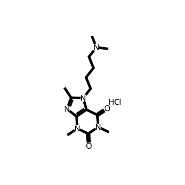 Cc1nc2c(c(=O)n(C)c(=O)n2C)n1CCCCN(C)C.Cl